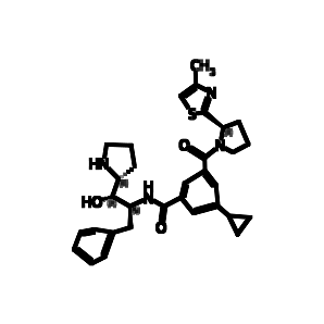 Cc1csc([C@H]2CCCN2C(=O)c2cc(C(=O)N[C@@H](Cc3ccccc3)[C@H](O)[C@H]3CCCN3)cc(C3CC3)c2)n1